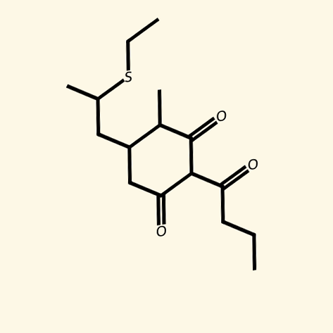 CCCC(=O)C1C(=O)CC(CC(C)SCC)C(C)C1=O